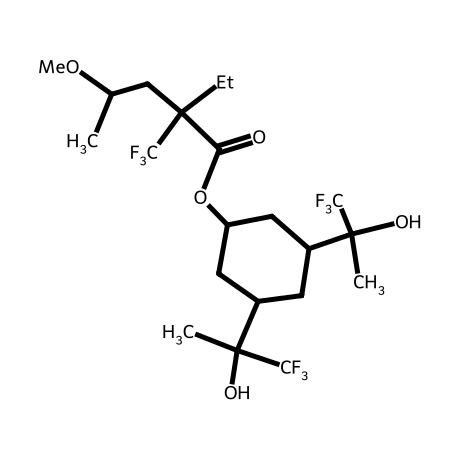 CCC(CC(C)OC)(C(=O)OC1CC(C(C)(O)C(F)(F)F)CC(C(C)(O)C(F)(F)F)C1)C(F)(F)F